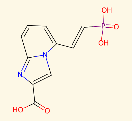 O=C(O)c1cn2c(C=CP(=O)(O)O)cccc2n1